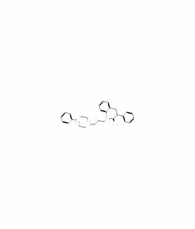 O=C1C(c2ccccc2)Cc2ccccc2N1CCCN1CCN(c2ccccc2)CC1